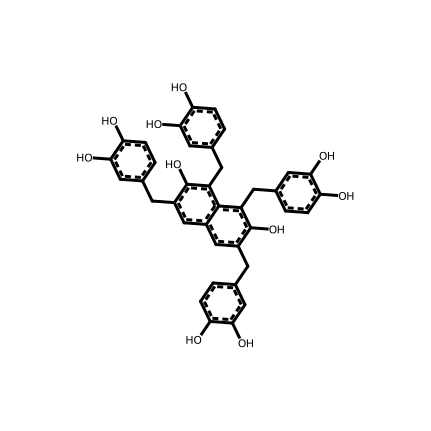 Oc1ccc(Cc2cc3cc(Cc4ccc(O)c(O)c4)c(O)c(Cc4ccc(O)c(O)c4)c3c(Cc3ccc(O)c(O)c3)c2O)cc1O